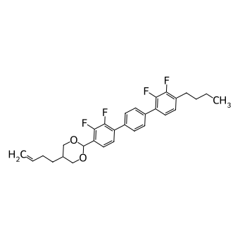 C=CCCC1COC(c2ccc(-c3ccc(-c4ccc(CCCC)c(F)c4F)cc3)c(F)c2F)OC1